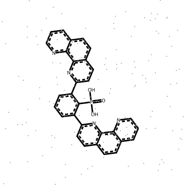 O=P(O)(O)c1c(-c2ccc3ccc4cccnc4c3n2)cccc1-c1ccc2ccc3cccnc3c2n1